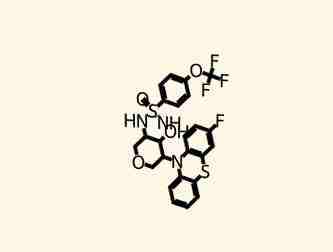 N=S(=O)(NC1COCC(N2c3ccccc3Sc3cc(F)ccc32)C1O)c1ccc(OC(F)(F)F)cc1